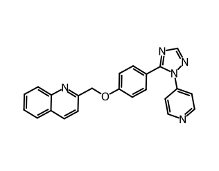 c1ccc2nc(COc3ccc(-c4ncnn4-c4ccncc4)cc3)ccc2c1